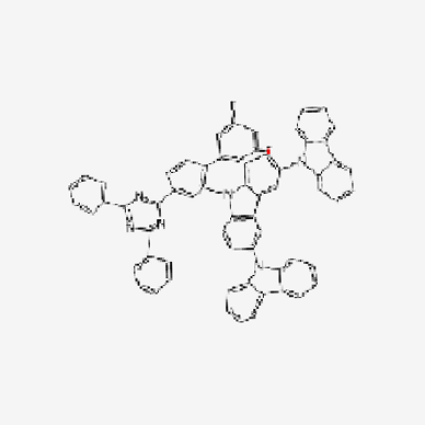 Fc1cc(F)cc(-c2ccc(-c3nc(-c4ccccc4)nc(-c4ccccc4)n3)cc2-n2c3ccc(-n4c5ccccc5c5ccccc54)cc3c3cc(-n4c5ccccc5c5ccccc54)ccc32)c1